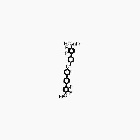 CCCC(O)c1ccc(C2CCC(COC3CCC(C4CCC(c5ccc(OCC)c(F)c5F)CC4)CC3)CC2)c(F)c1F